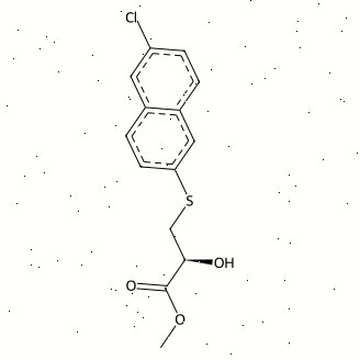 COC(=O)[C@H](O)CSc1ccc2cc(Cl)ccc2c1